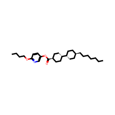 CCCCCCC[C@H]1CC[C@H]([C@H]2CC[C@H](C(=O)Oc3ccc(OCCCC)nc3)CC2)CC1